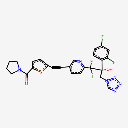 O=C(c1ccc(C#Cc2ccc(C(F)(F)[C@@](O)(Cn3cnnn3)c3ccc(F)cc3F)nc2)s1)N1CCCC1